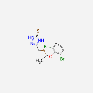 CC(Oc1c(Br)cccc1Br)SCc1n[nH]c(=S)[nH]1